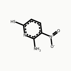 Nc1nc(S)ccc1[N+](=O)[O-]